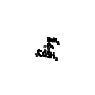 S.[BaH2].[Cd].[Zn]